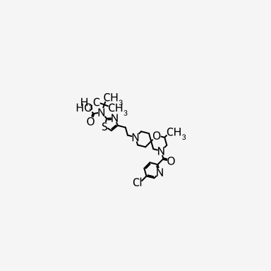 CC1CN(C(=O)c2ccc(Cl)cn2)CC2(CCN(CCc3csc(N(C(=O)O)C(C)(C)C)n3)CC2)O1